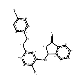 O=C1OC(Nc2nc(OCc3ccc(F)cc3)ncc2F)c2ccccc21